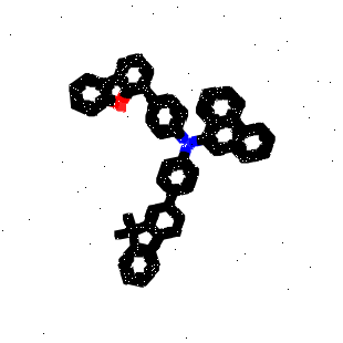 CC1(C)C2=CC(c3ccc(N(c4ccc(-c5cccc6c5oc5ccccc56)cc4)c4cc5ccccc5c5ccccc45)cc3)CC=C2c2ccccc21